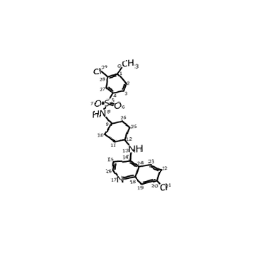 Cc1ccc(S(=O)(=O)NC2CCC(Nc3ccnc4cc(Cl)ccc34)CC2)cc1Cl